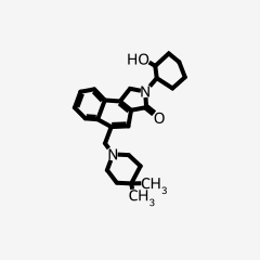 CC1(C)CCN(Cc2cc3c(c4ccccc24)CN(C2CCCCC2O)C3=O)CC1